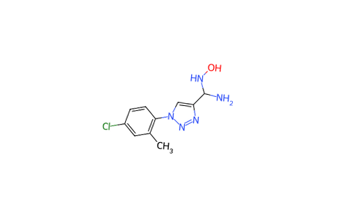 Cc1cc(Cl)ccc1-n1cc(C(N)NO)nn1